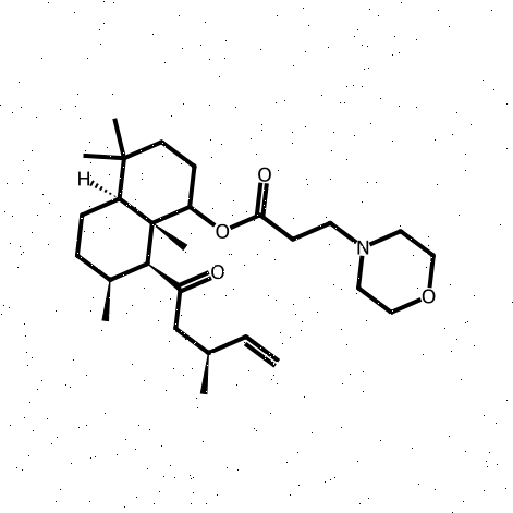 C=C[C@@H](C)CC(=O)[C@H]1[C@@H](C)CC[C@H]2C(C)(C)CCC(OC(=O)CCN3CCOCC3)[C@]12C